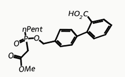 CCCCCP(=O)(CC(=O)OC)OCc1ccc(-c2ccccc2C(=O)O)cc1